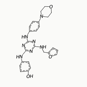 Oc1ccc(Nc2nc(NCc3ccco3)nc(Nc3ccc(N4CCOCC4)cc3)n2)cc1